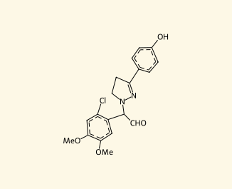 COc1cc(Cl)c(C(C=O)N2CCC(c3ccc(O)cc3)=N2)cc1OC